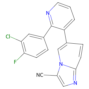 N#Cc1cnc2ccc(-c3cccnc3-c3ccc(F)c(Cl)c3)cn12